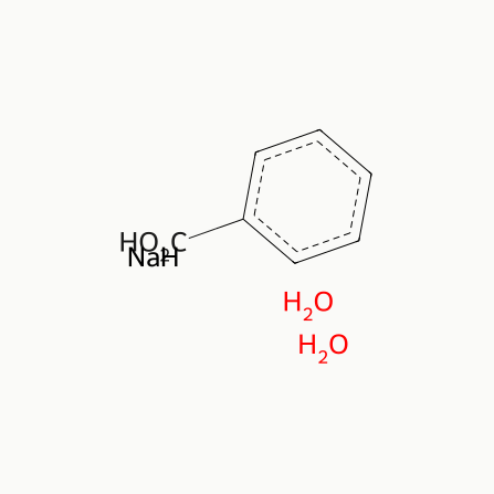 O.O.O=C(O)c1ccccc1.[NaH]